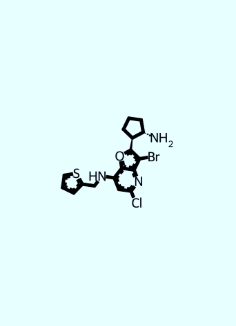 N[C@H]1CCC[C@@H]1c1oc2c(NCc3cccs3)cc(Cl)nc2c1Br